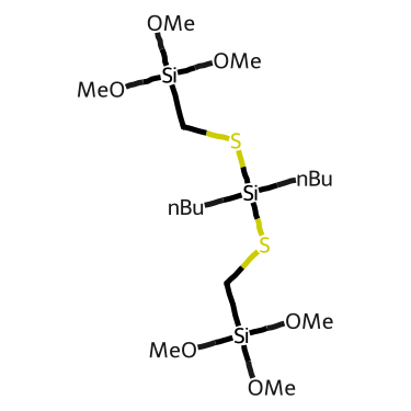 CCCC[Si](CCCC)(SC[Si](OC)(OC)OC)SC[Si](OC)(OC)OC